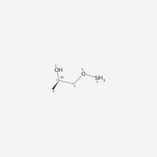 C[C@@H](O)CO[SiH3]